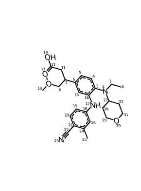 CCN(c1ccc(C(COC)CC(=O)O)cc1Nc1ccc(C#N)c(C)c1)C1CCOCC1